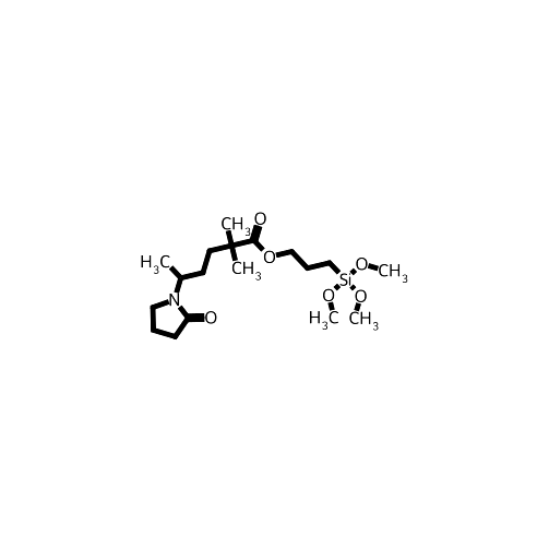 CO[Si](CCCOC(=O)C(C)(C)CCC(C)N1CCCC1=O)(OC)OC